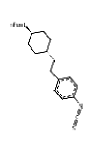 CCCCC[C@H]1CC[C@H](CCc2ccc(N=C=S)cc2)CC1